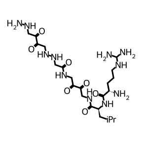 CC(C)C[C@H](NC(=O)[C@@H](N)CCCNC(N)N)C(=O)NCC(=O)C(=O)CNC(=O)CNNCC(=O)C(=O)CNN